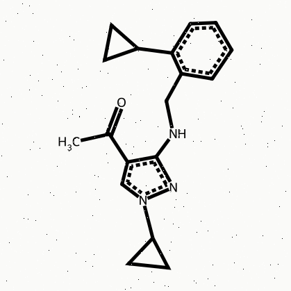 CC(=O)c1cn(C2CC2)nc1NCc1ccccc1C1CC1